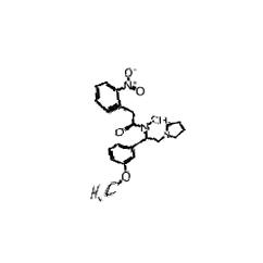 COc1cccc(C(CN2CCCC2)N(C)C(=O)Cc2ccccc2[N+](=O)[O-])c1